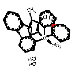 CC1=CC[C]([Zr](=[SiH2])([c]2ccccc2)([c]2ccccc2)[c]2cccc3c2Cc2ccccc2-3)=C1C.Cl.Cl